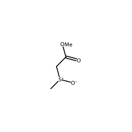 COC(=O)C[S+](C)[O-]